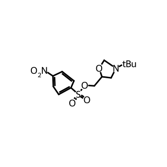 CC(C)(C)N1COC(COS(=O)(=O)c2ccc([N+](=O)[O-])cc2)C1